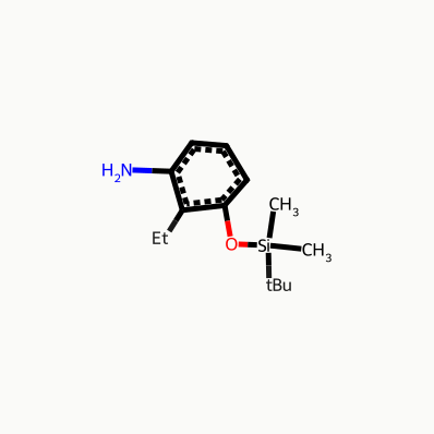 CCc1c(N)cccc1O[Si](C)(C)C(C)(C)C